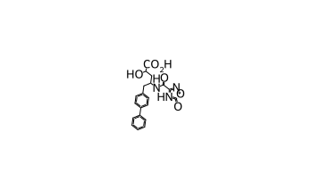 O=C(NC(Cc1ccc(-c2ccccc2)cc1)CC(O)C(=O)O)c1noc(=O)[nH]1